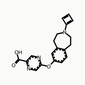 O=C(O)c1cnc(Oc2ccc3c(c2)CCN(C2=CC=C2)CC3)cn1